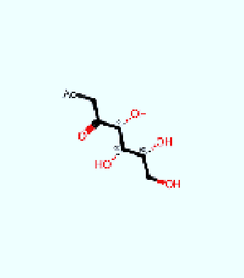 CC(=O)CC(=O)[C@H](O)[C@@H](O)[C@H](O)CO